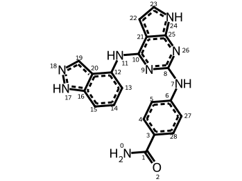 NC(=O)c1ccc(Nc2nc(Nc3cccc4[nH]ncc34)c3cc[nH]c3n2)cc1